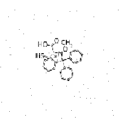 CON([C@H](CS)C(=O)O)C(c1ccccc1)(c1ccccc1)c1ccccc1